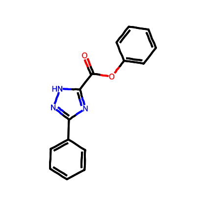 O=C(Oc1ccccc1)c1nc(-c2ccccc2)n[nH]1